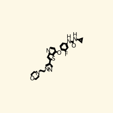 O=C(Nc1ccc(Oc2ccnc3cc(-c4cnn(CCN5CCOCC5)c4)sc23)c(F)c1)NC1CC1